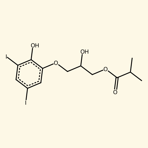 CC(C)C(=O)OCC(O)COc1cc(I)cc(I)c1O